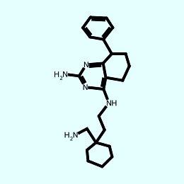 NCC1(CCNc2nc(N)nc3c2CCCC3c2ccccc2)CCCCC1